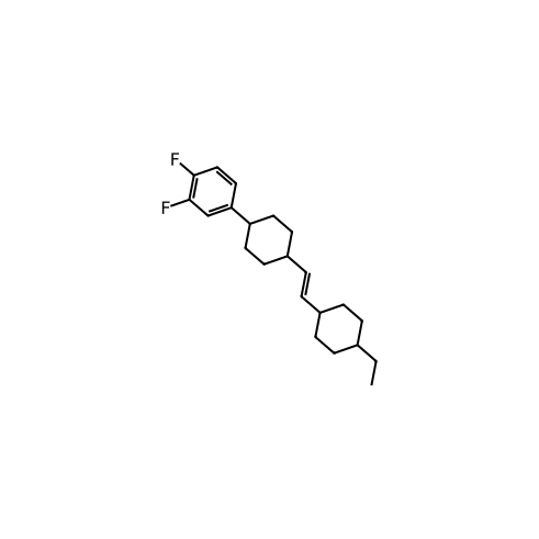 CCC1CCC(C=CC2CCC(c3ccc(F)c(F)c3)CC2)CC1